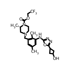 Cc1cc(CN2CCN(C(=O)OCC(F)(F)F)[C@@H](C)C2)c(C)c(Nc2nnc(C3CC(O)C3)o2)c1